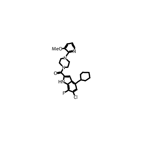 COc1cccnc1N1CCN(C(=O)c2cc3c(C4CCCCC4)cc(Cl)c(F)c3[nH]2)CC1